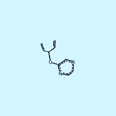 C=CC(C=C)Oc1cnccn1